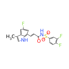 Cc1c[nH]c2c(C=CC(=O)NS(=O)(=O)c3ccc(F)c(F)c3)cc(F)cc12